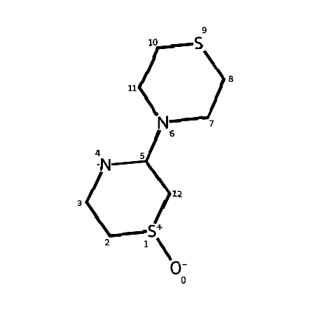 [O-][S+]1CC[N]C(N2CCSCC2)C1